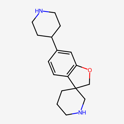 c1cc2c(cc1C1CCNCC1)OCC21CCCNC1